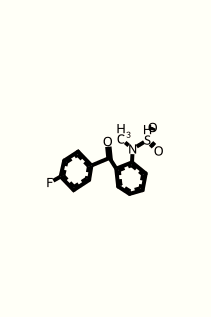 CN(c1ccccc1C(=O)c1ccc(F)cc1)[SH](=O)=O